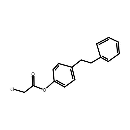 O=C(CCl)Oc1ccc(CCc2ccccc2)cc1